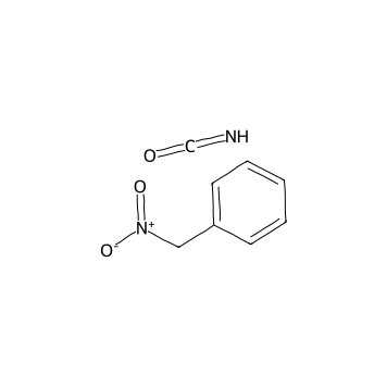 N=C=O.O=[N+]([O-])Cc1ccccc1